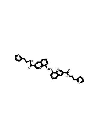 O=C(NCCc1cccs1)c1cnc2c(SSc3cccc4cc(C(=O)NCCc5cccs5)cnc34)cccc2c1